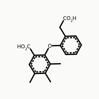 Cc1cc(C(=O)O)c(Oc2ccccc2CC(=O)O)c(C)c1C